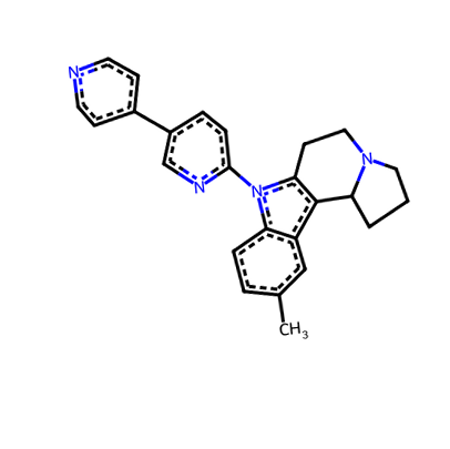 Cc1ccc2c(c1)c1c(n2-c2ccc(-c3ccncc3)cn2)CCN2CCCC12